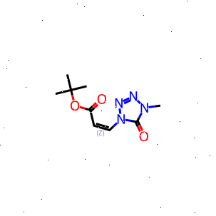 Cn1nnn(/C=C\C(=O)OC(C)(C)C)c1=O